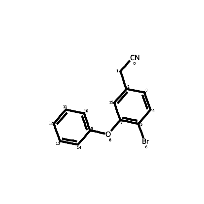 N#C[CH]c1ccc(Br)c(Oc2ccccc2)c1